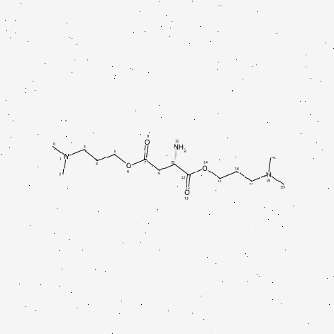 CN(C)CCCOC(=O)C[C@H](N)C(=O)OCCCN(C)C